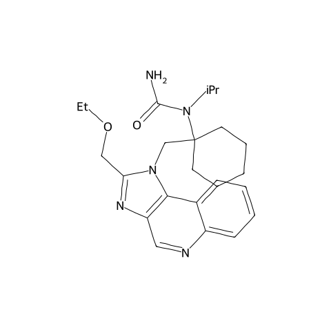 CCOCc1nc2cnc3ccccc3c2n1CC1(N(C(N)=O)C(C)C)CCCCC1